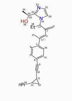 C=C(/C=C(\C)c1ccc(C#CC2CC2CCC)cc1)C(CC)n1ccnc1[C@H](C)O